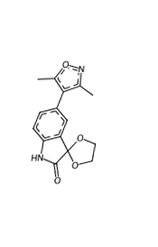 Cc1noc(C)c1-c1ccc2c(c1)C1(OCCO1)C(=O)N2